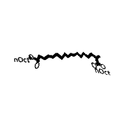 CCCCCCCCOC(=O)CCCCCCCCCCCCCCCC(C)C(=O)OCCCCCCCC